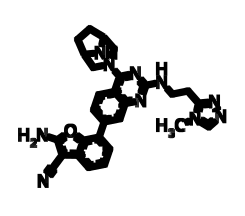 Cn1cnnc1CCNc1nc(N2CC3CCC(C2)N3)c2ccc(-c3cccc4c(C#N)c(N)oc34)cc2n1